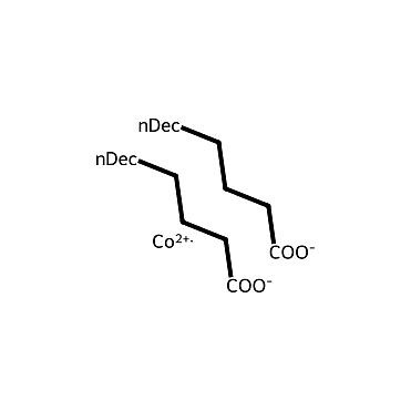 CCCCCCCCCCCCCC(=O)[O-].CCCCCCCCCCCCCC(=O)[O-].[Co+2]